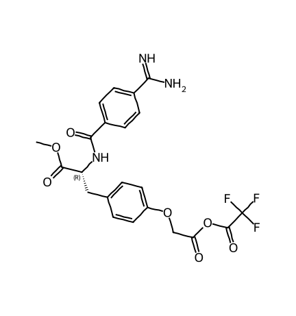 COC(=O)[C@@H](Cc1ccc(OCC(=O)OC(=O)C(F)(F)F)cc1)NC(=O)c1ccc(C(=N)N)cc1